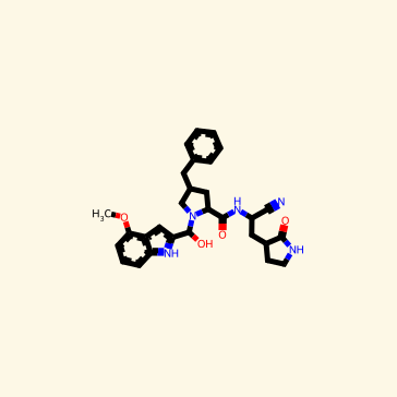 COc1cccc2[nH]c(C(O)N3CC(Cc4ccccc4)CC3C(=O)NC(C#N)CC3CCNC3=O)cc12